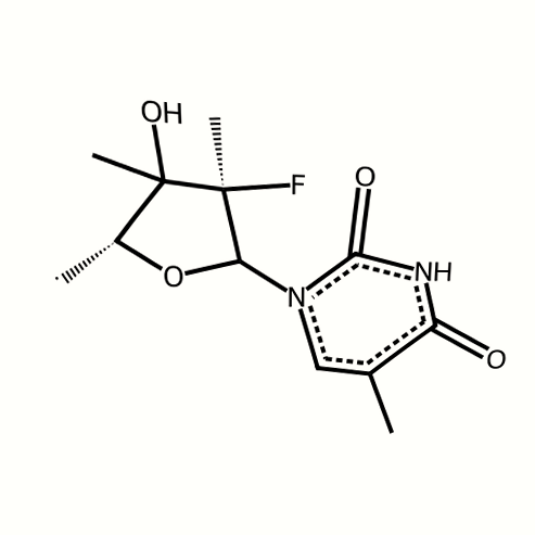 [CH2][C@H]1OC(n2cc(C)c(=O)[nH]c2=O)[C@](C)(F)C1(C)O